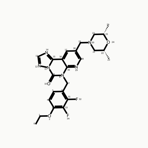 CCOc1ccc(Cn2c(=O)n3ncnc3c3cc(CN4C[C@@H](C)O[C@@H](C)C4)cnc32)c(F)c1F